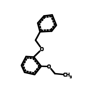 CCOc1ccccc1OCc1ccccc1